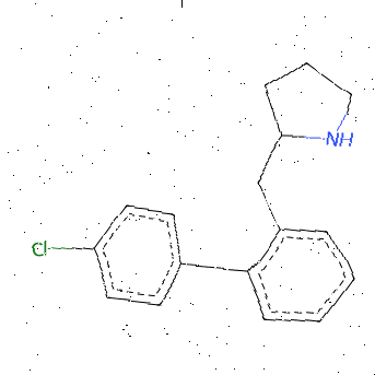 Clc1ccc(-c2ccccc2CC2CCCN2)cc1